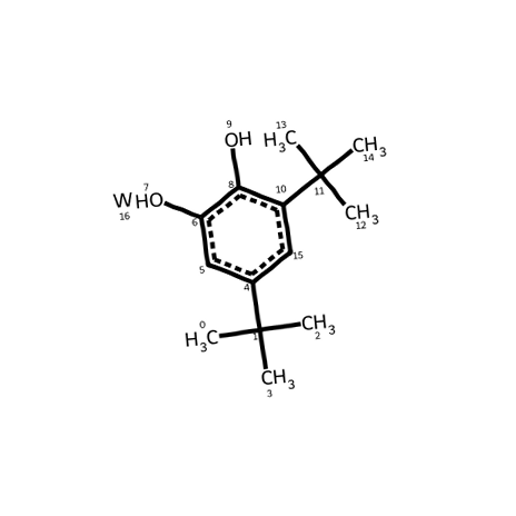 CC(C)(C)c1cc(O)c(O)c(C(C)(C)C)c1.[W]